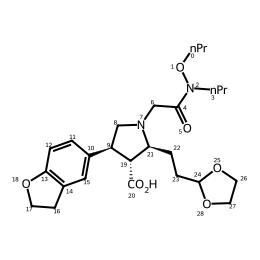 CCCON(CCC)C(=O)CN1C[C@H](c2ccc3c(c2)CCO3)[C@@H](C(=O)O)[C@@H]1CCC1OCCO1